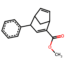 COC(=O)C1=CC(c2ccccc2)C2C=CC1C2